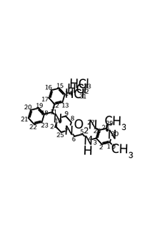 Cc1cc(NCCN2CCN(C(c3ccccc3)c3ccccc3)CC2)c([N+](=O)[O-])c(C)n1.Cl.Cl.Cl